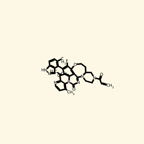 C=CC(=O)N1CCN2c3nc(=O)n(-c4c(C)ccnc4C(C)C)c4c(Cl)c(-c5c(C)ccc6[nH]ncc56)c(F)c(c34)OCCC2C1